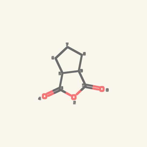 O=C1OC(=O)C2CCCC12